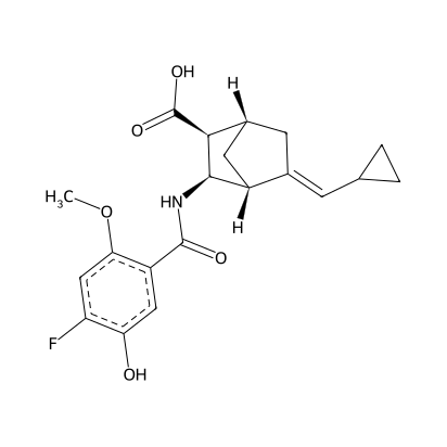 COc1cc(F)c(O)cc1C(=O)N[C@H]1[C@@H](C(=O)O)[C@@H]2CC(=CC3CC3)[C@H]1C2